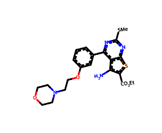 CCOC(=O)c1sc2nc(SC)nc(-c3cccc(OCCN4CCOCC4)c3)c2c1N